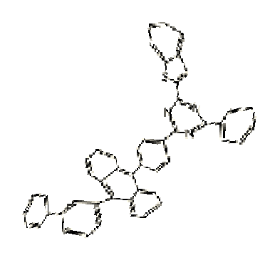 c1ccc(-c2cccc(-c3c4ccccc4c(-c4ccc(-c5nc(-c6ccccc6)nc(-c6cc7ccccc7s6)n5)cc4)c4ccccc34)c2)cc1